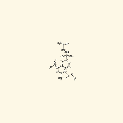 BC(=O)NNS(=O)(=O)c1ccc2c3c(cc([N+](=O)[O-])c2c1)NCC3CCl